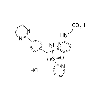 Cl.NC(Cc1ccc(-c2ncccn2)cc1)(c1cccc(NCC(=O)O)n1)S(=O)(=O)c1ccccn1